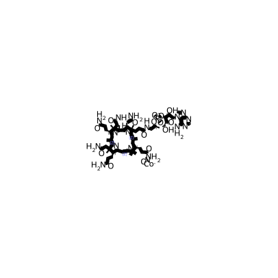 C/C1=C2N=C(/C=C3N=C(/C(C)=C4\[N-][C@H]([C@H](CC(N)=O)[C@]4(C)CCC(=O)NC[C@H](C)OP(=O)([O-])O[C@H]4[C@@H](O)[C@@H](n5cnc6ncnc(N)c65)O[C@@H]4CO)[C@]4(C)N=C1[C@@H](CCC(N)=O)[C@]4(C)CC(N)=O)[C@@H](CCC(N)=O)C\3(C)C)[C@@H](CCC(N)=O)[C@]/2(C)CC(N)=O.[C-]#N.[Co]